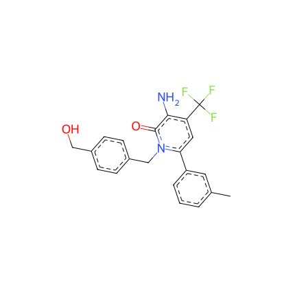 Cc1cccc(-c2cc(C(F)(F)F)c(N)c(=O)n2Cc2ccc(CO)cc2)c1